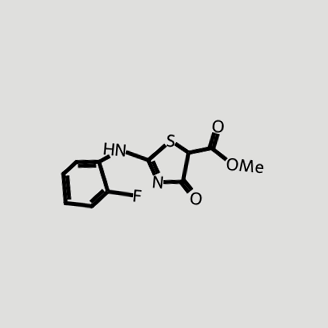 COC(=O)C1SC(Nc2ccccc2F)=NC1=O